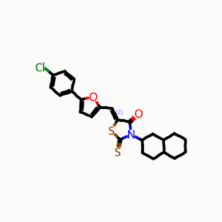 O=C1/C(=C/c2ccc(-c3ccc(Cl)cc3)o2)SC(=S)N1C1CCC2CCCCC2C1